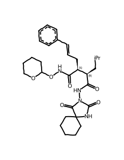 CC(C)C[C@@H](C(=O)NN1C(=O)NC2(CCCCC2)C1=O)[C@H](CC=Cc1ccccc1)C(=O)NOC1CCCCO1